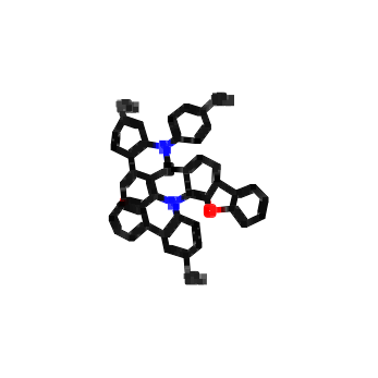 Cc1cc2c3c(c1)N(c1ccc(C(C)(C)C)cc1-c1ccccc1)c1c(ccc4c1oc1ccccc14)B3N(c1ccc(C(C)(C)C)cc1)c1cc(C(C)(C)C)ccc1-2